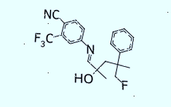 CC(O)(C=Nc1ccc(C#N)c(C(F)(F)F)c1)CC(C)(CF)c1ccccc1